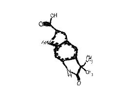 CC1(C)C(=O)Nc2cc3[nH]c(C(=O)O)cc3cc21